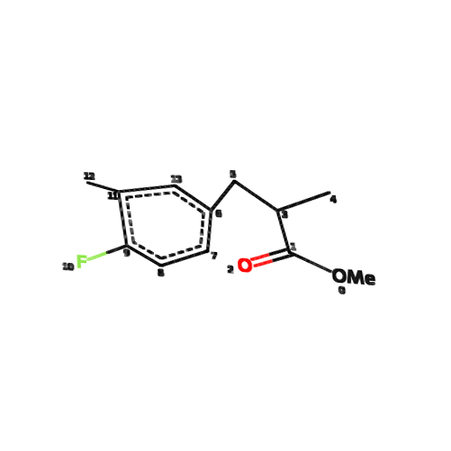 COC(=O)C(C)Cc1ccc(F)c(C)c1